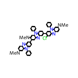 CNc1ccc2nc3cc(-c4cc5nc6cc(-c7cc8c(cc7Cl)nc7ccc(NC)cc7[n+]8-c7ccccc7)ccc6[n+](-c6ccccc6)c5cc4NC)ccc3[n+](-c3ccccc3)c2c1